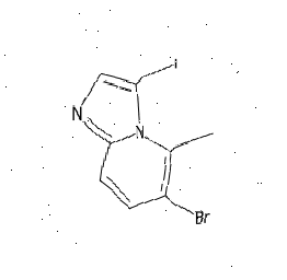 Cc1c(Br)ccc2ncc(I)n12